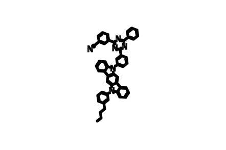 CCCCc1cccc(-n2c3ccccc3c3cc4c(cc32)c2ccccc2n4-c2cccc(-c3nc(-c4ccccc4)nc(-c4cccc(C#N)c4)n3)c2)c1